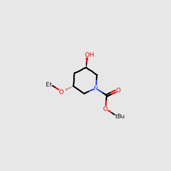 CCO[C@@H]1C[C@@H](O)CN(C(=O)OC(C)(C)C)C1